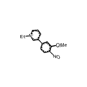 CC[n+]1cccc(-c2ccc(N=O)c(OC)c2)c1